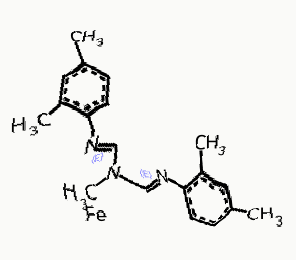 Cc1ccc(/N=C/N(C)/C=N/c2ccc(C)cc2C)c(C)c1.[Fe]